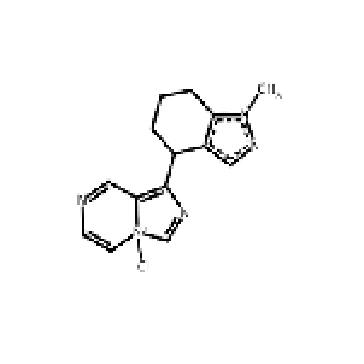 Cn1ncc2c1CCCC2C1=C2C=NC=C[N+]2(Cl)C=N1